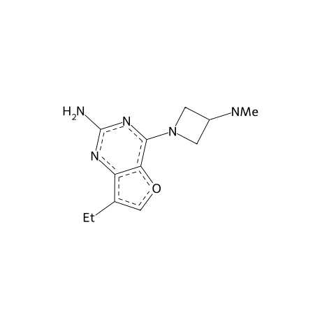 CCc1coc2c(N3CC(NC)C3)nc(N)nc12